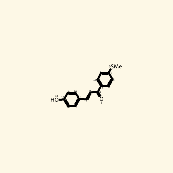 CSc1ccc(C(=O)C=Cc2ccc(O)cc2)cc1